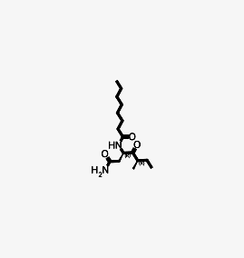 CCCCCCCC(=O)N[C@H](CC(N)=O)C(=O)[C@H](C)CC